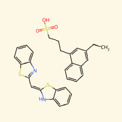 C(=C1Nc2ccccc2S1)c1nc2ccccc2s1.CCc1cc(CCCS(=O)(=O)O)c2ccccc2c1